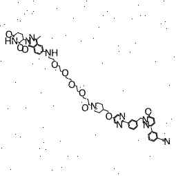 Cc1nn(C2CCC(=O)NC2=O)c(=O)c2ccc(NCCOCCOCCOCCOCCC(=O)N3CCC(COc4cnc(-c5cccc(Cn6nc(-c7cccc(C#N)c7)ccc6=O)c5)nc4)CC3)cc12